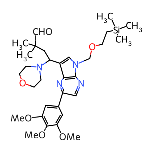 COc1cc(-c2cnc3c(n2)c(C(CC(C)(C)C=O)N2CCOCC2)cn3COCC[Si](C)(C)C)cc(OC)c1OC